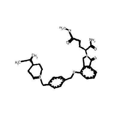 COC(=O)CCC(C(N)=O)N1Cc2c(OCc3ccc(CN4CCC(C(C)C)CC4)cc3)cccc2C1=O